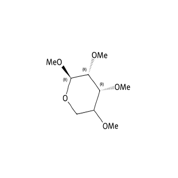 COC1CO[C@@H](OC)[C@H](OC)[C@@H]1OC